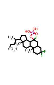 CC(CCC(=O)O)C1CCC2C3C(CCC12C)C1(C)CCC(F)(F)CC1CC3(F)OP(=O)(O)O